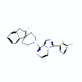 N[C@@H]1Cc2ccccc2C12CCN(c1nccn3c(-c4cccc(Cl)c4Cl)ncc13)CC2